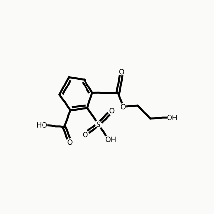 O=C(O)c1cccc(C(=O)OCCO)c1S(=O)(=O)O